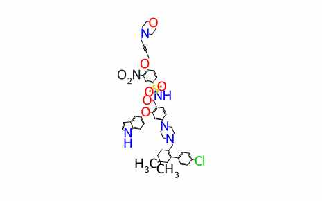 CC1(C)CCC(CN2CCN(c3ccc(C(=O)NS(=O)(=O)c4ccc(OCC#CCN5CCOCC5)c([N+](=O)[O-])c4)c(Oc4ccc5[nH]ccc5c4)c3)CC2)=C(c2ccc(Cl)cc2)C1